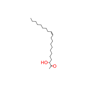 CCCCCCCC/C=C\CCCCCCCCC(O)C(C)=O